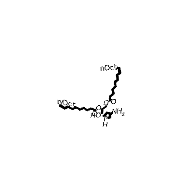 CCCCCCCC/C=C\CCCCCCCC(=O)OCC(CO)OC(=O)CCCCCCC/C=C\CCCCCCCC.Nc1cc[pH]c1